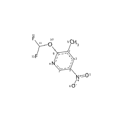 Cc1cc([N+](=O)[O-])cnc1OC(F)F